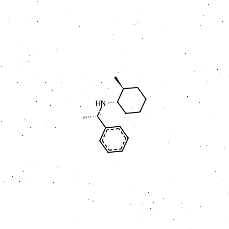 C[C@H](N[C@H]1CCCC[C@@H]1C)c1ccccc1